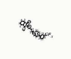 O=C1c2ccccc2C(=O)N1OCCCN1CCN(c2cccc(C(F)(F)F)c2)CC1